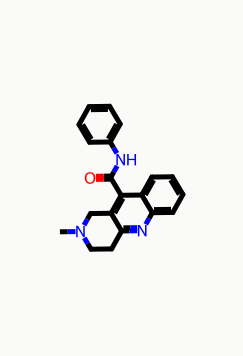 CN1CCc2nc3ccccc3c(C(=O)Nc3ccccc3)c2C1